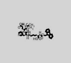 CC(C)(C)OC(=O)[C@H](CCC(=O)O)NC(=O)[C@H](Cc1cccnc1)NNCCCC[C@H](NC(=O)OCC1c2ccccc2-c2ccccc21)C(=O)O